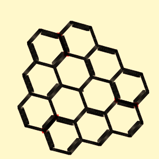 c1ccc2c([C](c3c4ccccc4cc4ccccc34)c3c4ccccc4cc4ccccc34)c3ccccc3cc2c1